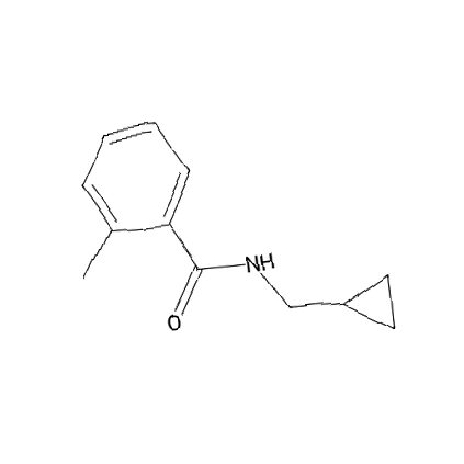 Cc1ccccc1C(=O)NCC1CC1